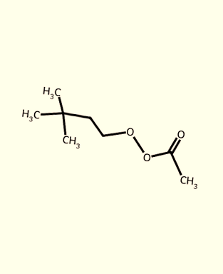 CC(=O)OOCCC(C)(C)C